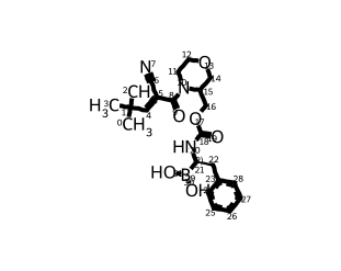 CC(C)(C)C=C(C#N)C(=O)N1CCOCC1COC(=O)N[C@@H](Cc1ccccc1)B(O)O